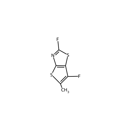 Cc1sc2nc(F)sc2c1F